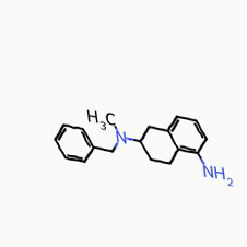 CN(Cc1ccccc1)C1CCc2c(N)cccc2C1